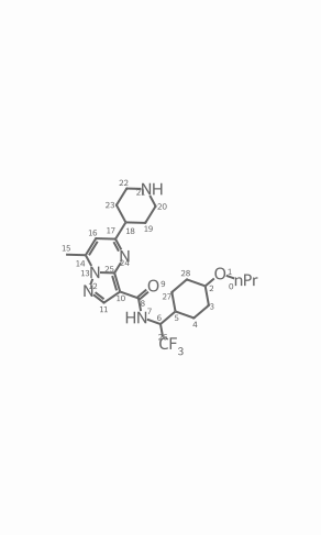 CCCOC1CCC(C(NC(=O)c2cnn3c(C)cc(C4CCNCC4)nc23)C(F)(F)F)CC1